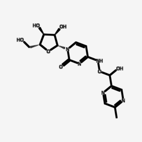 Cc1cnc(C(O)ONc2ccn([C@@H]3O[C@H](CO)[C@@H](O)[C@H]3O)c(=O)n2)cn1